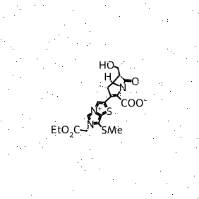 CCOC(=O)Cn1c[n+]2cc(C3=C(C(=O)[O-])N4C(=O)[C@H]([C@@H](C)O)[C@H]4[C@H]3C)sc2c1SC